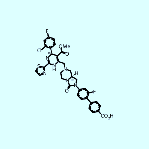 COC(=O)C1=C(CN2CCN3C(=O)N(c4ccc(-c5ccc(C(=O)O)cc5)c(F)c4)C[C@@H]3C2)NC(c2nccs2)=N[C@H]1c1ccc(F)cc1Cl